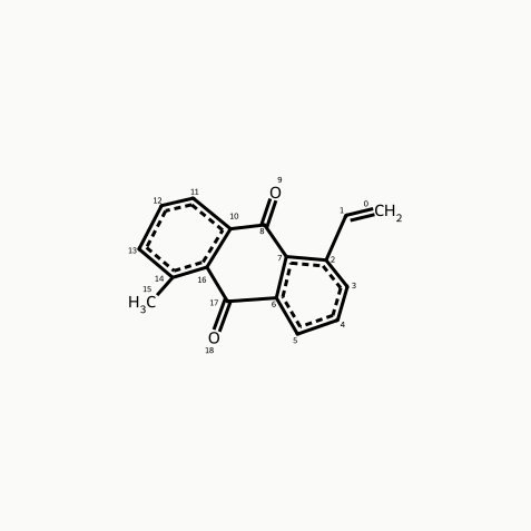 C=Cc1cccc2c1C(=O)c1cccc(C)c1C2=O